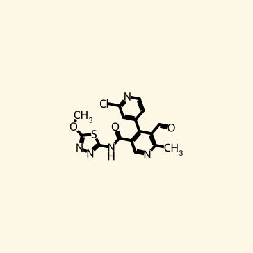 COc1nnc(NC(=O)c2cnc(C)c(C=O)c2-c2ccnc(Cl)c2)s1